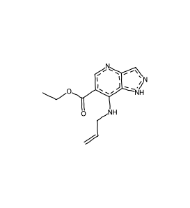 C=CCNc1c(C(=O)OCC)cnc2cn[nH]c12